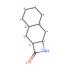 O=C1NC2CC3CCCCC3CC12